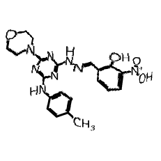 Cc1ccc(Nc2nc(N/N=C/c3cccc([N+](=O)O)c3O)nc(N3CCOCC3)n2)cc1